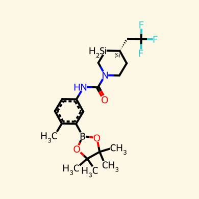 Cc1ccc(NC(=O)N2CC[C@@H](CC(F)(F)F)[SiH2]C2)cc1B1OC(C)(C)C(C)(C)O1